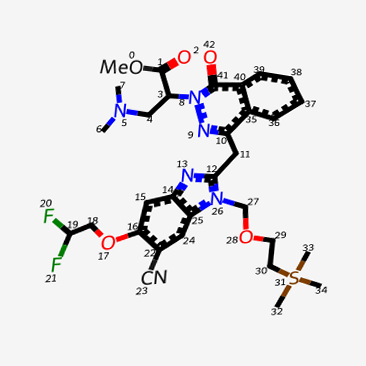 COC(=O)C(CN(C)C)n1nc(Cc2nc3cc(OCC(F)F)c(C#N)cc3n2COCCS(C)(C)C)c2ccccc2c1=O